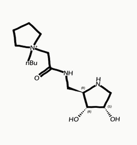 CCCC[N+]1(CC(=O)NC[C@H]2NC[C@H](O)[C@@H]2O)CCCC1